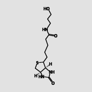 O=C(CCCCC1SC[C@@H]2NC(=O)N[C@H]12)NCCCO